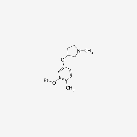 CCOc1cc(OC2CCN(C)C2)ccc1C